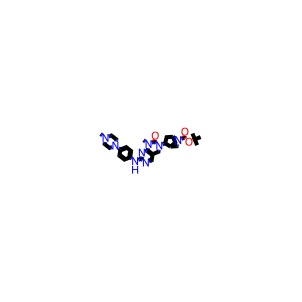 CN1CCN(c2ccc(Nc3ncc4c(n3)N(C)C(=O)N(C3CC5CC3CN5C(=O)OC(C)(C)C)C4)cc2)CC1